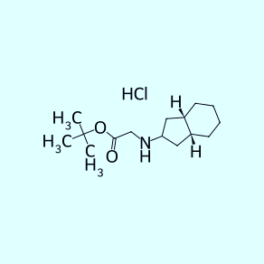 CC(C)(C)OC(=O)CNC1C[C@H]2CCCC[C@H]2C1.Cl